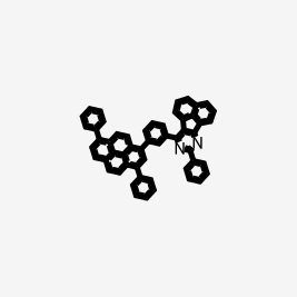 c1ccc(-c2nc(-c3cccc(-c4cc(-c5ccccc5)c5ccc6ccc(-c7ccccc7)c7ccc4c5c67)c3)c3c(n2)-c2cccc4cccc-3c24)cc1